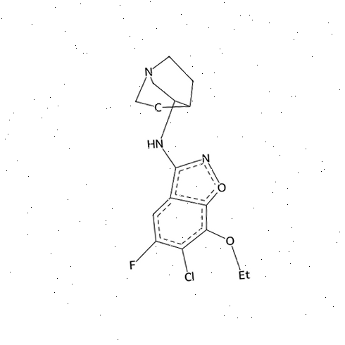 CCOc1c(Cl)c(F)cc2c(NC3CN4CCC3CC4)noc12